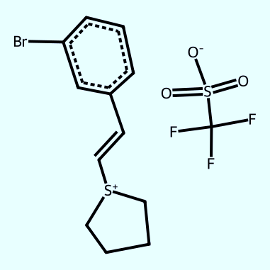 Brc1cccc(C=C[S+]2CCCC2)c1.O=S(=O)([O-])C(F)(F)F